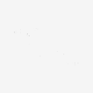 CCCCCCCOc1ccc(C=[N+]([O-])C(C)(C)C)cc1